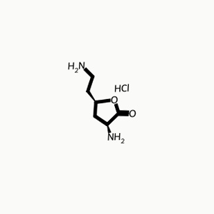 Cl.NCC[C@@H]1C[C@H](N)C(=O)O1